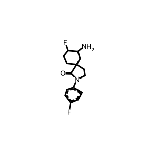 NC1CC2(CCC1F)CCN(c1ccc(F)cc1)C2=O